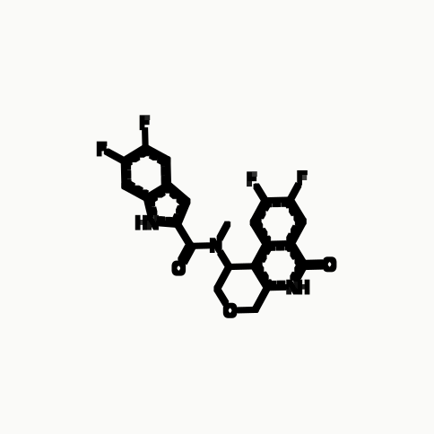 CN(C(=O)c1cc2cc(F)c(F)cc2[nH]1)C1COCc2[nH]c(=O)c3cc(F)c(F)cc3c21